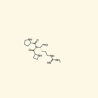 N=C(N)NCCC[C@@H](C=O)N(C(=O)C1CCN1)C(=O)[C@H]1CCCN1